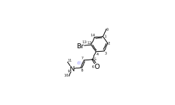 Cc1ccc(C(=O)/C=C/N(C)C)c(Br)c1